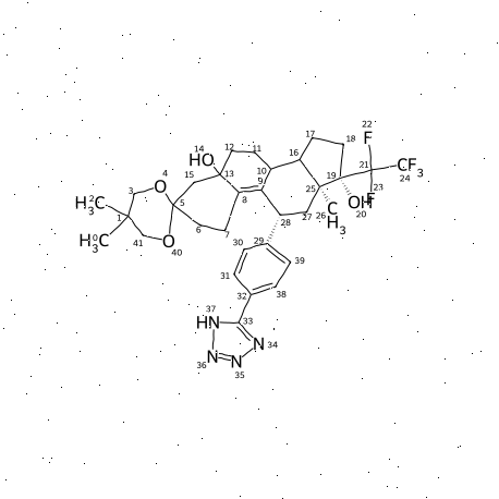 CC1(C)COC2(CCC3=C4C(CCC3(O)C2)C2CC[C@@](O)(C(F)(F)C(F)(F)F)[C@@]2(C)C[C@@H]4c2ccc(-c3nnn[nH]3)cc2)OC1